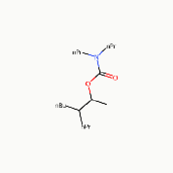 CCCCC(CCC)C(C)OC(=O)N(CCC)CCC